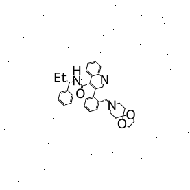 CC[C@H](NC(=O)c1c(-c2ccccc2CN2CCC3(CC2)OCCO3)cnc2ccccc12)c1ccccc1